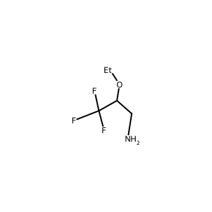 CCOC(CN)C(F)(F)F